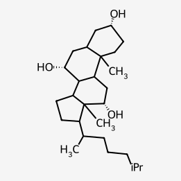 CC(C)CCCC(C)C1CCC2C3C(C[C@H](O)C12C)C1(C)CC[C@@H](O)CC1C[C@H]3O